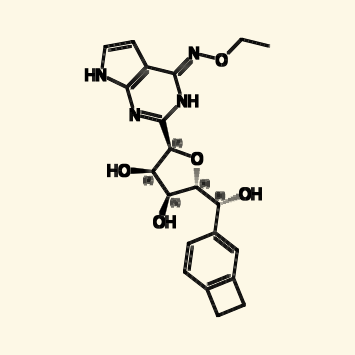 CCON=c1[nH]c([C@H]2O[C@H]([C@H](O)c3ccc4c(c3)CC4)[C@@H](O)[C@H]2O)nc2[nH]ccc12